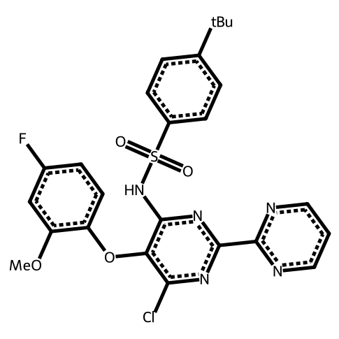 COc1cc(F)ccc1Oc1c(Cl)nc(-c2ncccn2)nc1NS(=O)(=O)c1ccc(C(C)(C)C)cc1